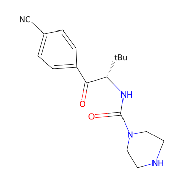 CC(C)(C)[C@H](NC(=O)N1CCNCC1)C(=O)c1ccc(C#N)cc1